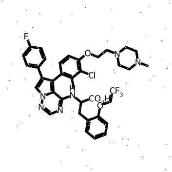 Cc1c(-c2c(-c3ccc(F)cc3)cn3ncnc(NC(Cc4ccccc4OCC(F)(F)F)C(=O)O)c23)ccc(OCCN2CCN(C)CC2)c1Cl